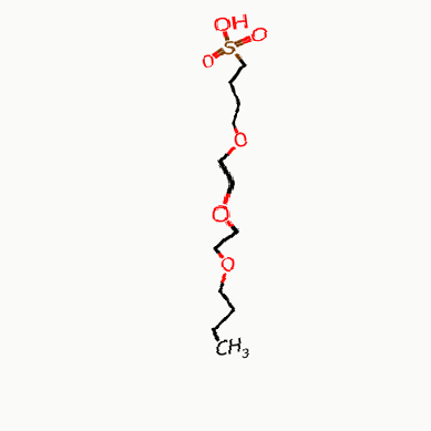 CCCCOCCOCCOCCCCS(=O)(=O)O